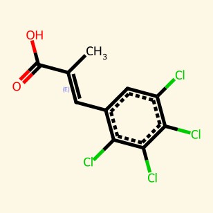 C/C(=C\c1cc(Cl)c(Cl)c(Cl)c1Cl)C(=O)O